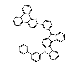 c1ccc(-c2cccc(-n3c4ccccc4c4c5c6ccccc6n(-c6cccc(-c7cnc8c9ccccc9c9ccccc9c8n7)c6)c5ccc43)c2)cc1